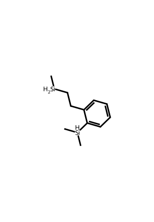 C[SiH2]CCc1ccccc1[SiH](C)C